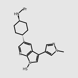 CC(C)N[C@H]1CC[C@H](c2cnc3c(c2)c(-c2cnn(C)c2)cn3S)CC1